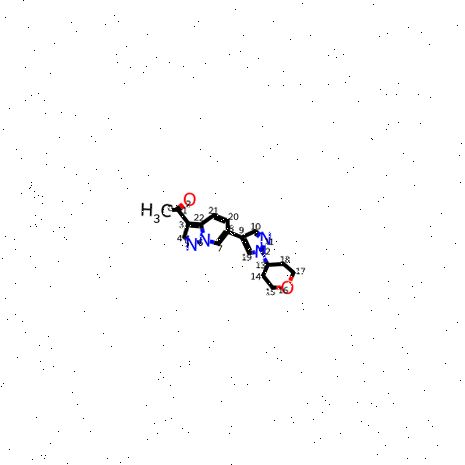 CC(=O)c1cnn2cc(-c3cnn(C4CCOCC4)c3)ccc12